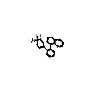 NC1(N)C=CC(c2ccccc2-c2cccc3ccccc23)=CC1